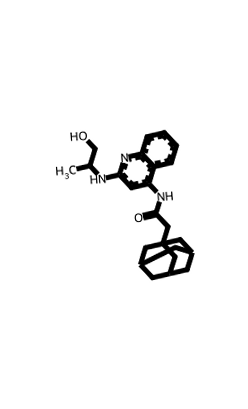 CC(CO)Nc1cc(NC(=O)CC23CC4CC(CC(C4)C2)C3)c2ccccc2n1